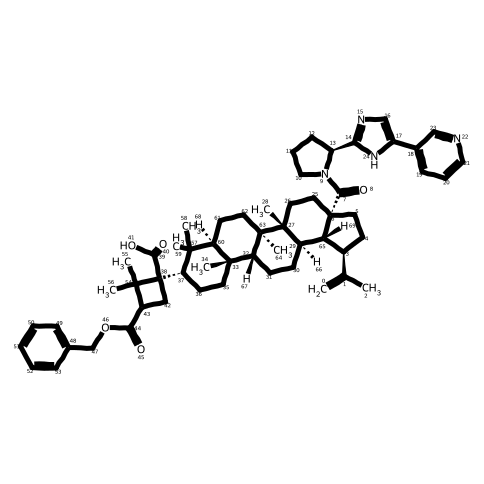 C=C(C)[C@@H]1CC[C@]2(C(=O)N3CCC[C@H]3c3ncc(-c4cccnc4)[nH]3)CC[C@]3(C)[C@H](CC[C@@H]4[C@]5(C)CC[C@H](C6(C(=O)O)CC(C(=O)OCc7ccccc7)C6(C)C)C(C)(C)[C@H]5CC[C@]43C)[C@@H]12